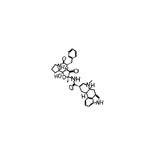 CN1C[C@H](C(=O)N[C@]2(C)O[C@@]3(O)[C@@H]4CCCN4C(=O)C(Cc4ccccc4)N3C2=O)C[C@@H]2c3cccc4[nH]cc(c34)C[C@H]21